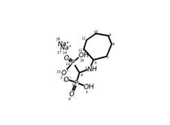 O=P([O-])(O)C(NC1CCCCCC1)P(=O)([O-])O.[Na+].[Na+]